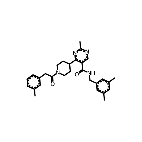 Cc1cc(C)cc(CNC(=O)c2cnc(C)nc2C2CCN(C(=O)Cc3cccc(C)c3)CC2)c1